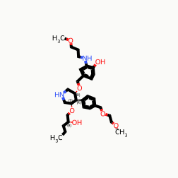 CCC[C@@H](O)CO[C@@H]1CNC[C@H](OCc2ccc(O)c(NCCCOC)c2)[C@H]1c1ccc(COCCOC)cc1